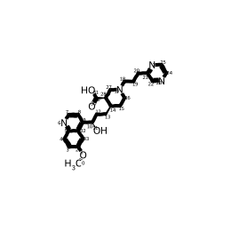 COc1ccc2nccc([C@@H](O)CC[C@@H]3CCN(CCCc4cnccn4)C[C@@H]3C(=O)O)c2c1